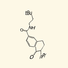 CCCC1CCc2cc(C(=O)NCCC(C)(C)C)ccc2C1=O